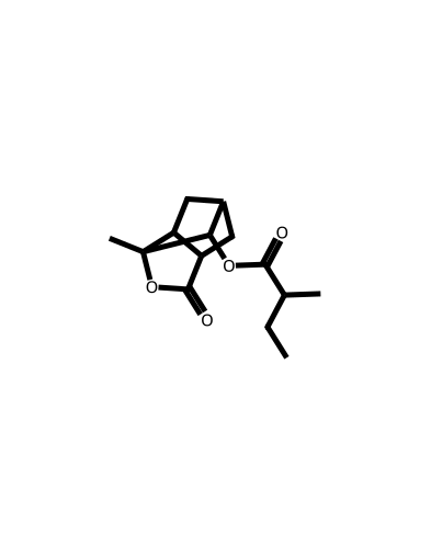 CCC(C)C(=O)OC1C2CC3C(=O)OC1(C)C3C2